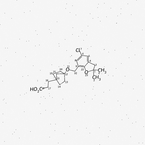 CC1(C)Cc2cc(Cl)cc(COC34CCC(CCC(=O)O)(CC3)C4)c2O1